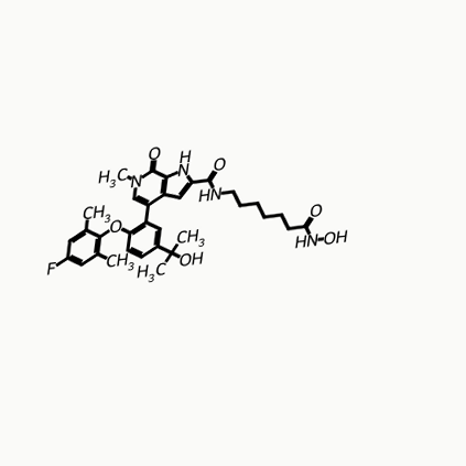 Cc1cc(F)cc(C)c1Oc1ccc(C(C)(C)O)cc1-c1cn(C)c(=O)c2[nH]c(C(=O)NCCCCCCC(=O)NO)cc12